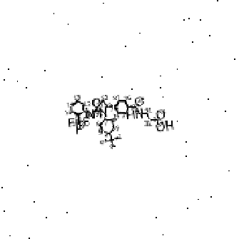 CC(C)(C)C1CCC(N2C(=Nc3ccccc3C(F)(F)F)OCC2c2ccc(C(=O)NCCC(=O)O)cc2)CC1